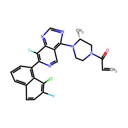 C=CC(=O)N1CCN(c2ncnc3c(F)c(-c4cccc5ccc(F)c(Cl)c45)ncc23)[C@H](C)C1